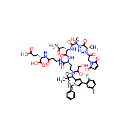 C[C@H](NC(=O)CN1C(=O)C=CC1=O)C(=O)N[C@H](C)C(=O)N[C@@H](CC(N)=O)C(=O)N[C@@H](CCN(C(=O)CO)[C@@H](c1cc(-c2cc(F)ccc2F)cn1Cc1ccccc1)C(C)(C)C)C(=O)NCCC(=O)N[C@@H](CCC(=O)O)C(=O)O